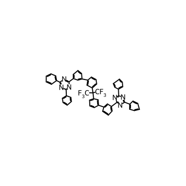 FC(F)(F)C(c1cccc(-c2cccc(-c3nc(-c4ccccc4)nc(-c4ccccc4)n3)c2)c1)(c1cccc(-c2cccc(-c3nc(-c4ccccc4)nc(-c4ccccc4)n3)c2)c1)C(F)(F)F